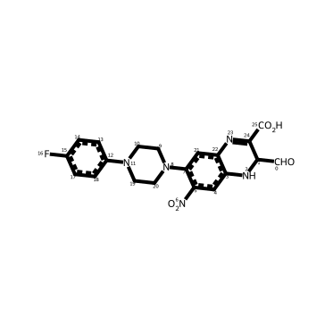 O=CC1Nc2cc([N+](=O)[O-])c(N3CCN(c4ccc(F)cc4)CC3)cc2N=C1C(=O)O